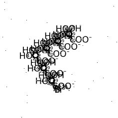 O=C([O-])c1cc(O)c(O)c(O)c1.O=C([O-])c1cc(O)c(O)c(O)c1.O=C([O-])c1cc(O)c(O)c(O)c1.O=C([O-])c1cc(O)c(O)c(O)c1.O=C([O-])c1cc(O)c(O)c(O)c1.O=C([O-])c1cc(O)c(O)c(O)c1.[Al+3].[Bi+3]